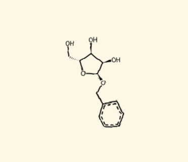 OC[C@H]1O[C@H](OCc2ccccc2)[C@H](O)[C@@H]1O